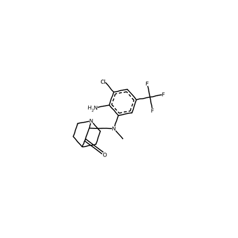 CN(c1cc(C(F)(F)F)cc(Cl)c1N)C1C(=O)C2CCN1CC2